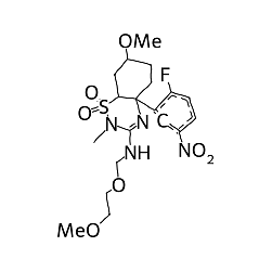 COCCOCNC1=NC2(c3cc([N+](=O)[O-])ccc3F)CCC(OC)CC2S(=O)(=O)N1C